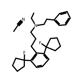 CC#N.CCN(CCCc1c(C2(F)CCCC2)cccc1C1(F)CCCC1)CCc1ccccc1